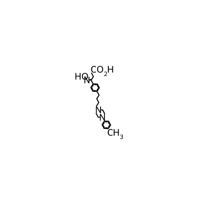 Cc1ccc(N2CCN(CCCCc3ccc(C(CCC(=O)O)=NO)cc3)CC2)cc1